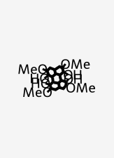 COc1cc2cc(OC)c(O)c3c4c(O)c(OC)cc5cc(OC)c(O)c(c(c1O)c23)c54